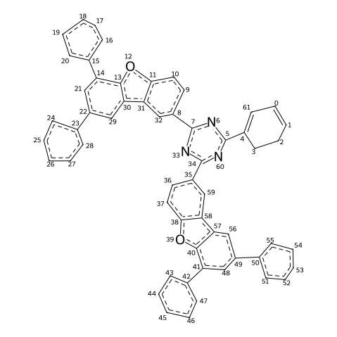 C1=CCCC(c2nc(-c3ccc4oc5c(-c6ccccc6)cc(-c6ccccc6)cc5c4c3)nc(-c3ccc4oc5c(-c6ccccc6)cc(-c6ccccc6)cc5c4c3)n2)=C1